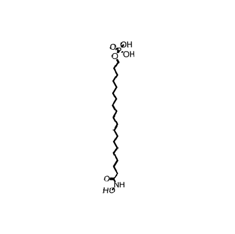 O=C(CCCCCCCCCCCCCCCCCCCOP(=O)(O)O)NO